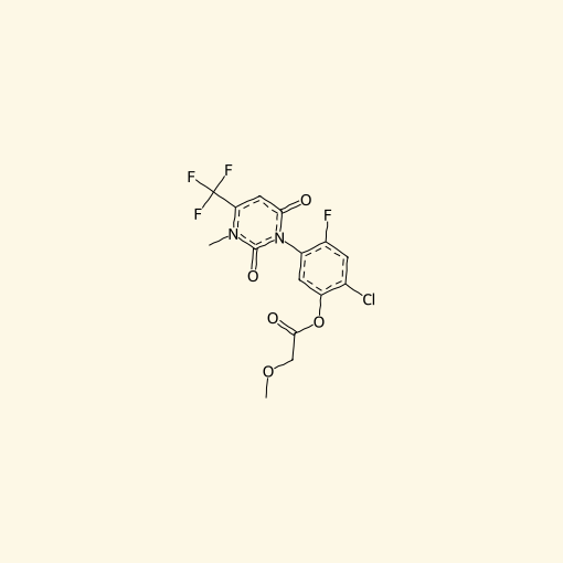 COCC(=O)Oc1cc(-n2c(=O)cc(C(F)(F)F)n(C)c2=O)c(F)cc1Cl